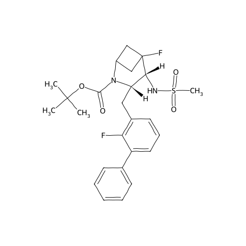 CC(C)(C)OC(=O)N1C2CC(F)(C2)[C@H](NS(C)(=O)=O)[C@@H]1Cc1cccc(-c2ccccc2)c1F